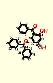 O=C(c1ccccc1)c1ccc(O)cc1O.O=C(c1ccccc1)c1ccccc1